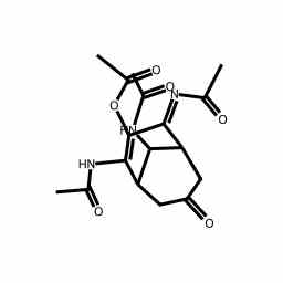 CC(=O)N=C1C(OC(C)=O)=C(NC(C)=O)C2CC(=O)CC1C2NC(C)=O